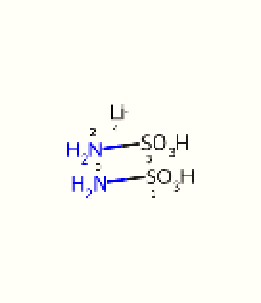 NS(=O)(=O)O.NS(=O)(=O)O.[Li]